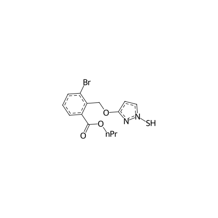 CCCOC(=O)c1cccc(Br)c1COc1ccn(S)n1